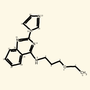 CCOCCCNc1nc(-n2ccnc2)nc2ccccc12